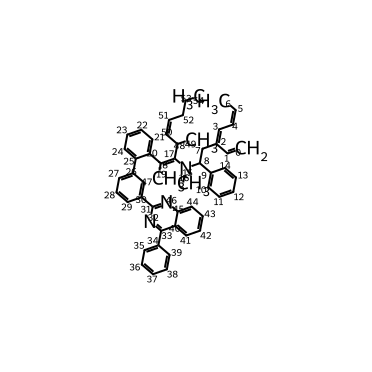 C=C/C(=C\C=C/C)CC(c1ccccc1)N(C)/C(=C(\C)c1ccccc1-c1cccc(-c2nc(-c3ccccc3)c3ccccc3n2)c1)C(C)/C=C\CCC